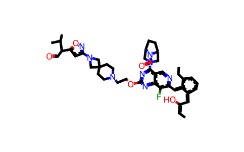 C\C=C(O)/C=c1/cccc(CC)/c1=C\c1ncc2c(N3CC4CCC(C3)N4C=O)nc(OCCN3CCC4(CC3)CN(c3cc(C(C=O)C(C)C)on3)C4)nc2c1F